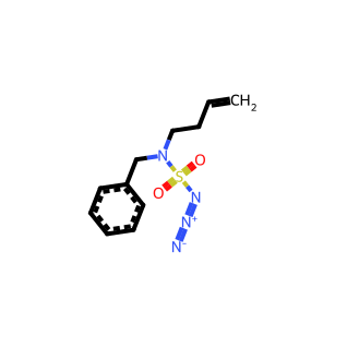 C=CCCN(Cc1ccccc1)S(=O)(=O)N=[N+]=[N-]